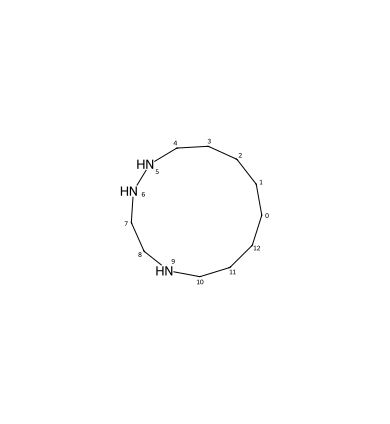 C1CCCCNNCCNCCC1